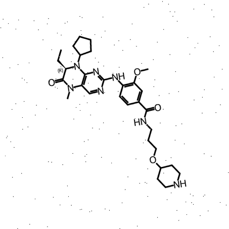 CC[C@@H]1C(=O)N(C)c2cnc(Nc3ccc(C(=O)NCCCOC4CCNCC4)cc3OC)nc2N1C1CCCC1